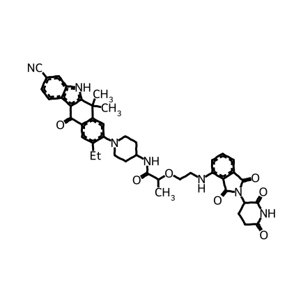 CCc1cc2c(cc1N1CCC(NC(=O)C(C)OCCNc3cccc4c3C(=O)N(C3CCC(=O)NC3=O)C4=O)CC1)C(C)(C)c1[nH]c3cc(C#N)ccc3c1C2=O